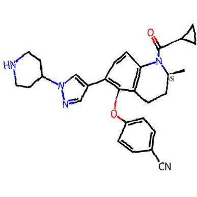 C[C@H]1CCc2c(ccc(-c3cnn(C4CCNCC4)c3)c2Oc2ccc(C#N)cc2)N1C(=O)C1CC1